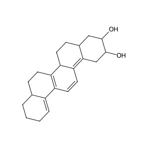 OC1CC2=C3C=CC4=C(CCC5CCCC=C45)C3CCC2CC1O